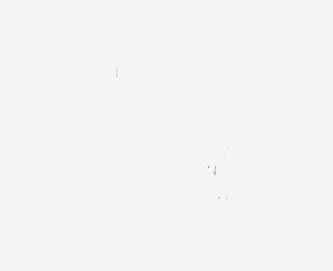 O=[N+]([O-])/C=[C]/c1cccc(Cl)c1Cl